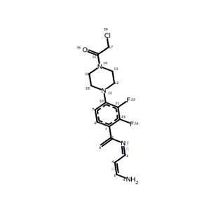 C=C(/N=C\C=C/N)c1ccc(N2CCN(C(=O)CCl)CC2)c(F)c1F